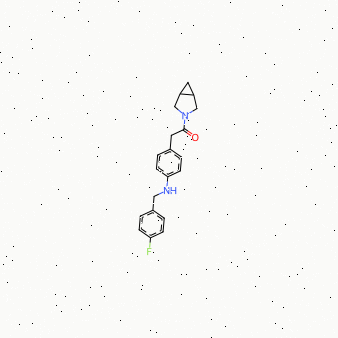 O=C(Cc1ccc(NCc2ccc(F)cc2)cc1)N1CC2CC2C1